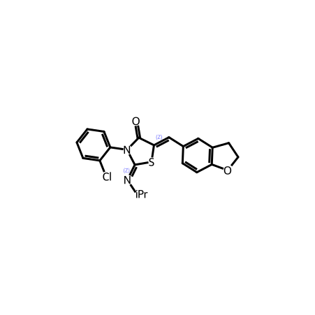 CC(C)/N=C1\S/C(=C\c2ccc3c(c2)CCO3)C(=O)N1c1ccccc1Cl